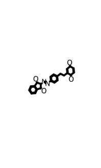 O=C1C=CC(=O)C(CCc2ccc(N=NC3C(=O)c4ccccc4C3=O)cc2)=C1